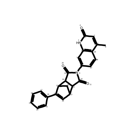 Cc1cc(=O)[nH]c2cc(N3C(=O)C4C5C=C(c6ccccc6)C(C5)C4C3=O)ccc12